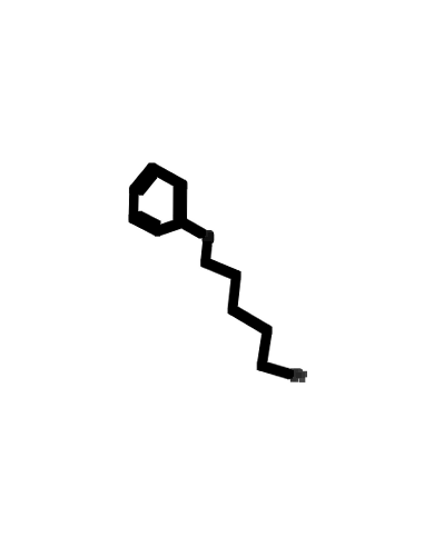 CC(C)CCCCCOc1[c]cccc1